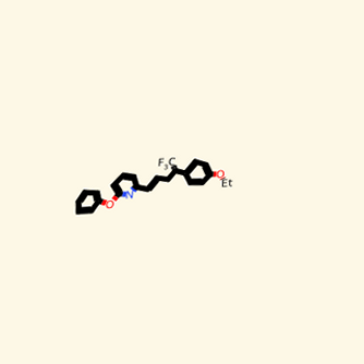 CCOc1ccc(C(CC=Cc2cccc(Oc3ccccc3)n2)C(F)(F)F)cc1